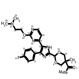 CNC(=O)C1(C)COC(c2nc(-c3ccc(F)cc3)c(-c3ccnc(OCCN(C)C)n3)[nH]2)OC1